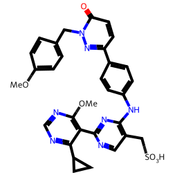 COc1ccc(Cn2nc(-c3ccc(Nc4nc(-c5c(OC)ncnc5C5CC5)ncc4CS(=O)(=O)O)cc3)ccc2=O)cc1